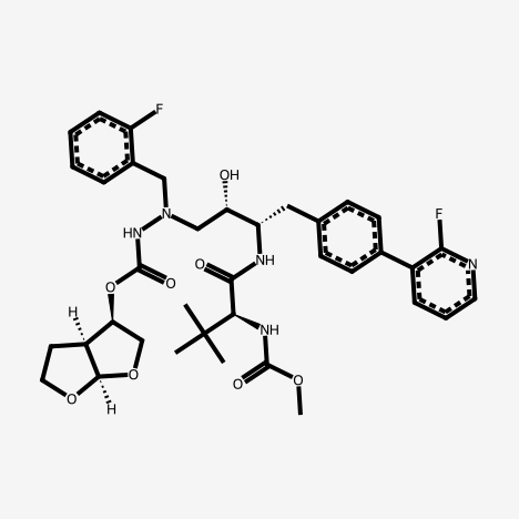 COC(=O)N[C@H](C(=O)N[C@@H](Cc1ccc(-c2cccnc2F)cc1)[C@@H](O)CN(Cc1ccccc1F)NC(=O)O[C@H]1CO[C@H]2OCC[C@H]21)C(C)(C)C